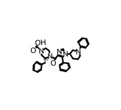 O=C(O)N1CCN(C(=O)c2ncn(C3CCCN(c4ccccc4)C3)c2-c2ccccc2)[C@H](Cc2ccccc2)C1